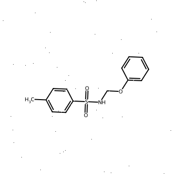 Cc1ccc(S(=O)(=O)NCOc2ccccc2)cc1